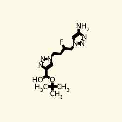 CC(C)(C)OC(O)c1cn(CCC(F)Cn2cc(N)nn2)nn1